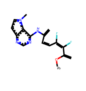 C=C(/C=C\C(F)=C(\F)C(=C)OC(C)C)Nc1ncnc2ccn(C)c12